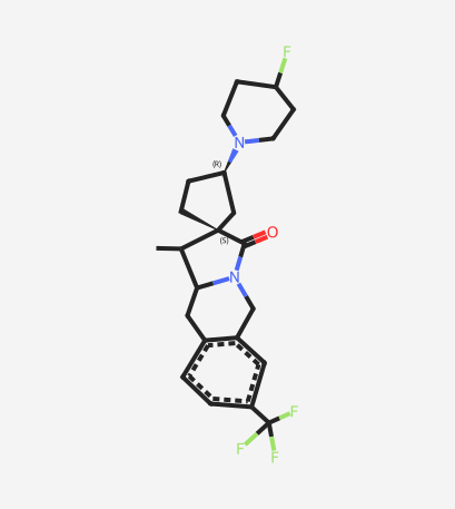 CC1C2Cc3ccc(C(F)(F)F)cc3CN2C(=O)[C@]12CC[C@@H](N1CCC(F)CC1)C2